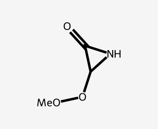 COOC1NC1=O